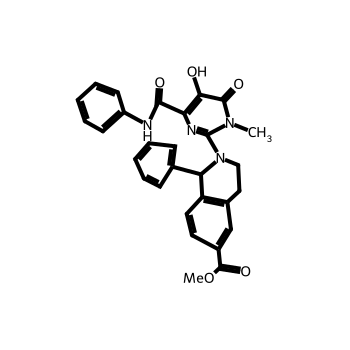 COC(=O)c1ccc2c(c1)CCN(c1nc(C(=O)Nc3ccccc3)c(O)c(=O)n1C)C2c1ccccc1